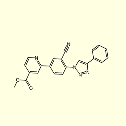 COC(=O)c1ccnc(-c2ccc(-n3cc(-c4ccccc4)nn3)c(C#N)c2)c1